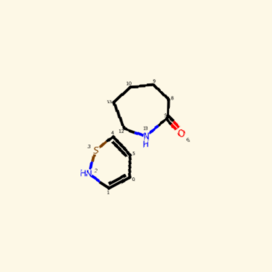 C1=CNSC=C1.O=C1CCCCCN1